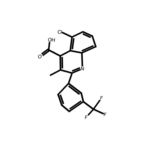 Cc1c(-c2cccc(C(F)(F)F)c2)nc2cccc(Cl)c2c1C(=O)O